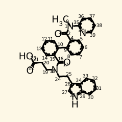 CN(C(=O)c1ccccc1-c1ccccc1C(=O)N(CCC(=O)O)CCc1c[nH]c2ccccc12)c1ccccn1